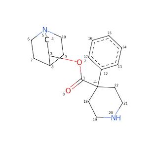 O=C(OC1CN2CCC1CC2)C1(c2ccccc2)CCNCC1